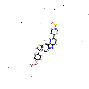 CCc1nc2ccc(C3CCN([S+](C)[O-])CC3)cn2c1N(C)c1nc(-c2ccc(OC(F)(F)F)cc2)cs1